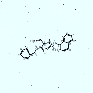 C=C[C@@H](NP(C)(=S)Oc1cccc2ccccc12)C(=O)OCc1ccccc1